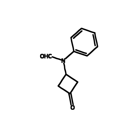 O=CN(c1ccccc1)C1CC(=O)C1